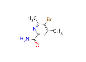 Cc1cc(C(N)=O)nc(C)c1Br